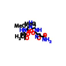 COC[C@H](NC(=O)c1cc(C(N)=O)on1)C(=O)N[C@@H](COC)C(=O)N[C@@H](CC(C)C)C(=O)[C@@]1(C)CO1